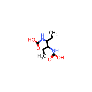 CCC(NC(=O)O)C(CC)NC(=O)O